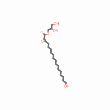 O=C(OCC(O)CO)C1OC1CCCCCCCCCCCCCCCO